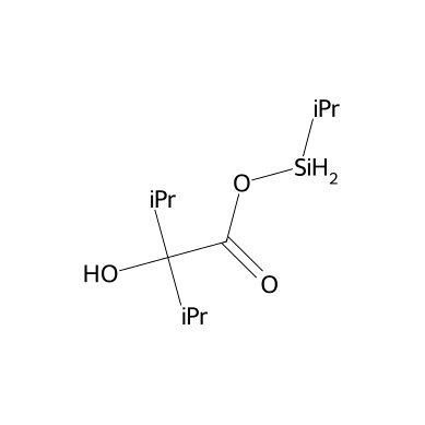 CC(C)[SiH2]OC(=O)C(O)(C(C)C)C(C)C